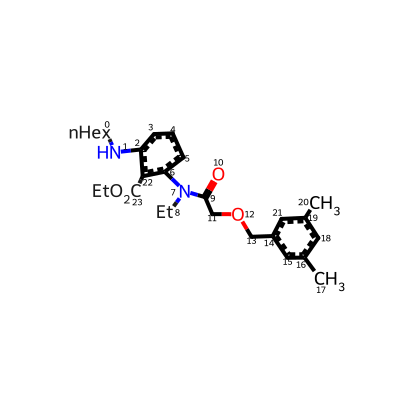 CCCCCCNc1cccc(N(CC)C(=O)COCc2cc(C)cc(C)c2)c1C(=O)OCC